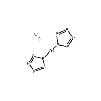 [Cl-].[Cl-].p1pp[p]([Zr+2][p]2pppp2)p1